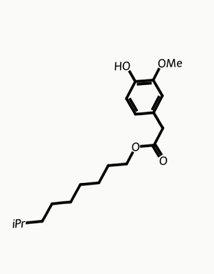 COc1cc(CC(=O)OCCCCCCCC(C)C)ccc1O